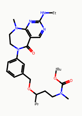 CCNc1ncc2c(n1)N(C)CCN(c1cccc(COC(CCN(C)C(=O)OC(C)(C)C)C(C)C)c1)C2=O